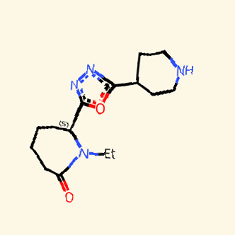 CCN1C(=O)CCC[C@H]1c1nnc(C2CCNCC2)o1